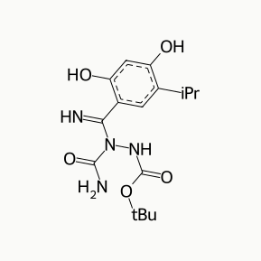 CC(C)c1cc(C(=N)N(NC(=O)OC(C)(C)C)C(N)=O)c(O)cc1O